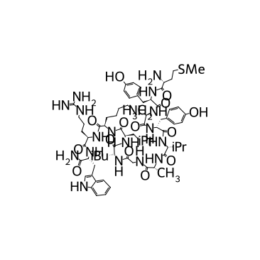 CC[C@@H](C)[C@@H](NC(=O)CNC(=O)[C@@H](C)NC(=O)[C@H](NC(=O)[C@@H](Cc1ccc(O)cc1)NC(=O)[C@@H](C)NC(=O)[C@@H](Cc1ccc(O)cc1)NC(=O)[C@H](N)CCSC)C(C)C)C(=O)N[C@H](CC(C)C)C(=O)N[C@H](CCCCN)C(=O)N[C@H](CCCNC(=N)N)C(=O)N[C@H](Cc1c[nH]c2ccccc12)C(N)=O